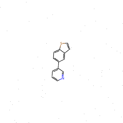 [c]1csc2ccc(-c3cccnc3)cc12